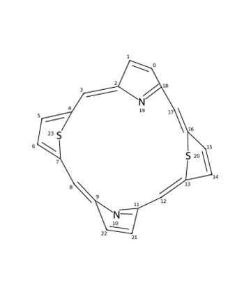 C1=Cc2cc3ccc(cc4nc(cc5ccc(cc1n2)s5)C=C4)s3